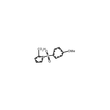 COc1ccc(S(=O)(=O)n2cccc2C(=O)O)cc1